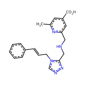 Cc1cc(C(=O)O)cc(CNCc2nncn2CC=Cc2ccccc2)n1